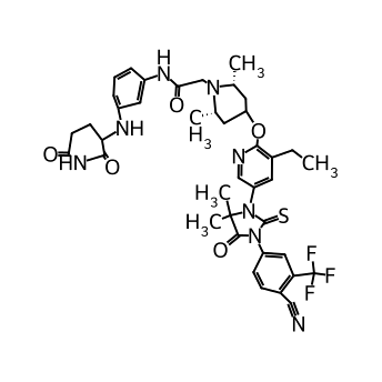 CCc1cc(N2C(=S)N(c3ccc(C#N)c(C(F)(F)F)c3)C(=O)C2(C)C)cnc1OC1C[C@@H](C)N(CC(=O)Nc2cccc(NC3CCC(=O)NC3=O)c2)[C@@H](C)C1